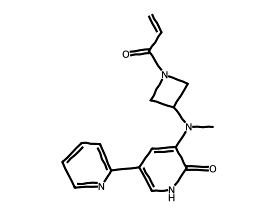 C=CC(=O)N1CC(N(C)c2cc(-c3ccccn3)c[nH]c2=O)C1